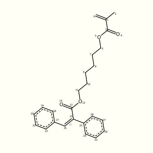 C=C(C)C(=O)OCCCCCCOC(=O)/C(=C\c1ccccc1)c1ccccc1